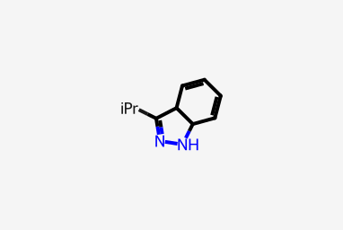 CC(C)C1=NNC2C=CC=CC12